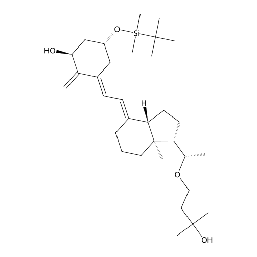 C=C1/C(=C/C=C2\CCC[C@]3(C)[C@@H]([C@H](C)OCCC(C)(C)O)CC[C@@H]23)C[C@@H](O[Si](C)(C)C(C)(C)C)C[C@@H]1O